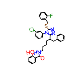 O=C(NCCCCC(Cc1ccccc1)c1nnc(SCc2ccccc2F)n1-c1cccc(Cl)c1)c1ccccc1O